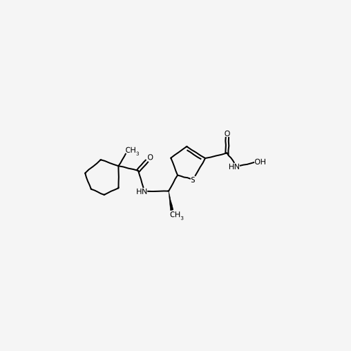 C[C@@H](NC(=O)C1(C)CCCCC1)C1CC=C(C(=O)NO)S1